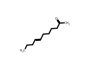 CCCC=CCCCCC(C)=O